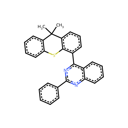 CC1(C)c2ccccc2Sc2c(-c3nc(-c4ccccc4)nc4ccccc34)cccc21